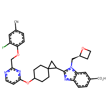 N#Cc1ccc(OCc2nccc(OC3CCC4(CC3)CC4c3nc4ccc(C(=O)O)cc4n3C[C@@H]3CCO3)n2)c(F)c1